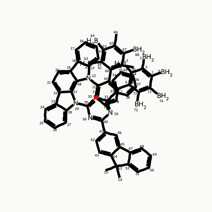 Bc1c(B)c(B)c(-c2cccc(-n3c4ccccc4c4ccc5c6ccccc6n(-c6nc(-c7ccccc7)nc(-c7ccc8c(c7)-c7ccccc7C8(C)C)n6)c5c43)c2-c2c(B)c(B)c(C)c(B)c2C)c(B)c1B